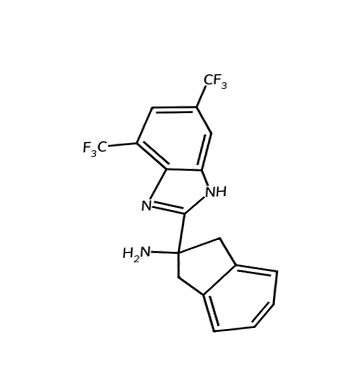 NC1(c2nc3c(C(F)(F)F)cc(C(F)(F)F)cc3[nH]2)Cc2ccccc2C1